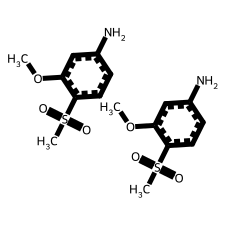 COc1cc(N)ccc1S(C)(=O)=O.COc1cc(N)ccc1S(C)(=O)=O